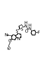 COCCOc1cc2nccc(SC3=CCC(NC(=O)Nc4cccc(F)c4)S3)c2cc1C#N